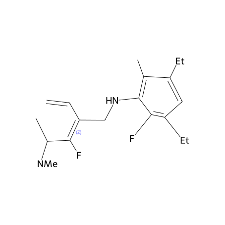 C=C/C(CNc1c(C)c(CC)cc(CC)c1F)=C(/F)C(C)NC